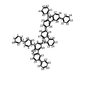 c1ccc(-c2ccc(-c3cc(-n4c5ccccc5c5cc(-c6ccc7c(c6)c6cc(-c8ccccc8)ccc6n7-c6ccccc6)ccc54)cc4c3sc3ccc(-c5ccccc5)cc34)cc2)cc1